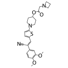 COc1ccc(C(C#N)=Cc2ccc(N3CCC(OC(=O)CN4CCC4)CC3)s2)cc1OC